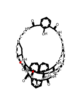 O=C1NCCN2CCNC(=O)c3cccc(c3O)C(=O)NCCN3CCN(CCNC(=O)c4cccc1c4O)CCNC(=O)c1cccc(c1O)C(=O)NCCN(CCNC(=O)c1cccc(c1O)C(=O)NC(I)C3)CC2